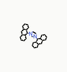 C1=CN(c2c3ccccc3cc3ccccc23)CN1c1c2ccccc2cc2ccccc12